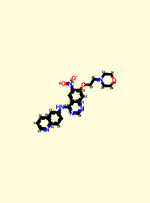 O=[N+]([O-])c1cc2c(Nc3ccc4ncccc4c3)ncnc2cc1OCCN1CCOCC1